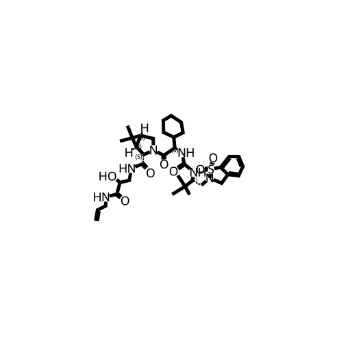 C=CCNC(=O)C(O)CNC(=O)[C@@H]1[C@@H]2[C@H](CN1C(=O)[C@@H](NC(=O)N[C@H](CN1Cc3ccccc3S1(=O)=O)C(C)(C)C)C1CCCCC1)C2(C)C